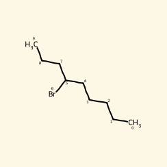 CCCCCC(Br)CCC